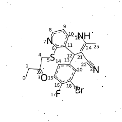 CCC(=O)CSc1nccc2c1C(c1ccc(F)c(Br)c1)C(C#N)=C(C)N2